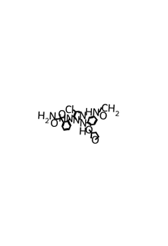 C=CC(=O)Nc1ccc(OC2CCOC2)c(Nc2ncc(Cl)c(Nc3ccccc3C(=O)C(N)=O)n2)c1